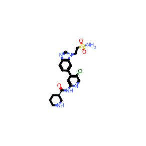 NS(=O)(=O)CCn1cnc2ccc(-c3cc(NC(=O)[C@@H]4CCCNC4)ncc3Cl)cc21